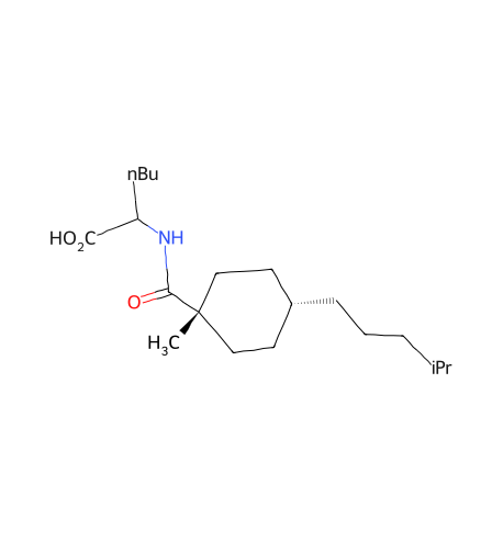 CCCCC(NC(=O)[C@]1(C)CC[C@H](CCCC(C)C)CC1)C(=O)O